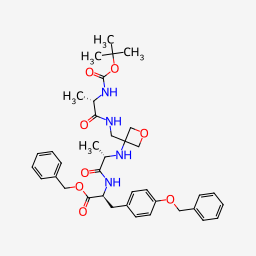 C[C@H](NC(=O)OC(C)(C)C)C(=O)NCC1(N[C@@H](C)C(=O)N[C@@H](Cc2ccc(OCc3ccccc3)cc2)C(=O)OCc2ccccc2)COC1